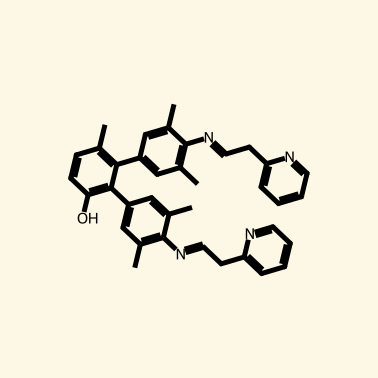 Cc1cc(-c2c(C)ccc(O)c2-c2cc(C)c(N=CCc3ccccn3)c(C)c2)cc(C)c1N=CCc1ccccn1